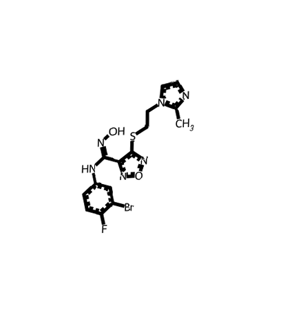 Cc1nccn1CCSc1nonc1/C(=N\O)Nc1ccc(F)c(Br)c1